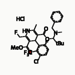 COC(=O)C1=C(CF)NC(C)=C(C(=O)OC(N(C)Cc2ccccc2)C(C)(C)C)C1c1c(F)ccc(Cl)c1C(F)(F)F.Cl